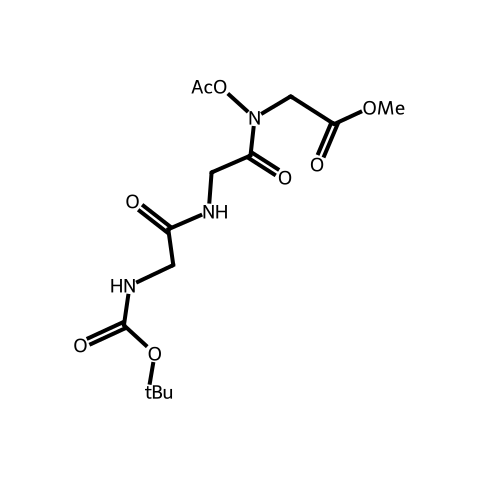 COC(=O)CN(OC(C)=O)C(=O)CNC(=O)CNC(=O)OC(C)(C)C